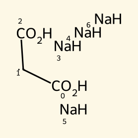 O=C(O)[CH]C(=O)O.[NaH].[NaH].[NaH].[NaH]